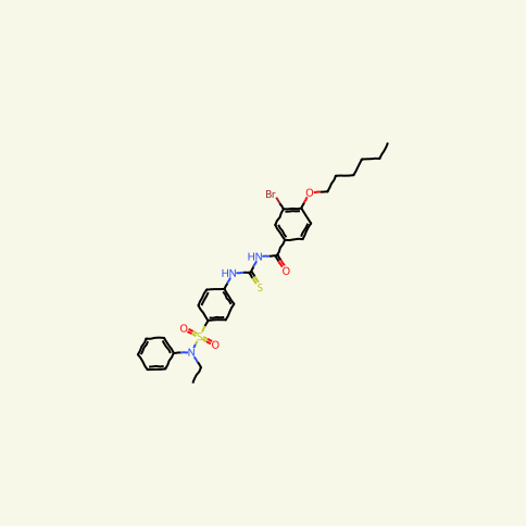 CCCCCCOc1ccc(C(=O)NC(=S)Nc2ccc(S(=O)(=O)N(CC)c3ccccc3)cc2)cc1Br